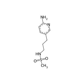 CS(=O)(=O)NCCCc1ccc(N)nc1